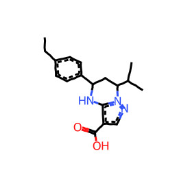 CCc1ccc(C2CC(C(C)C)n3ncc(C(=O)O)c3N2)cc1